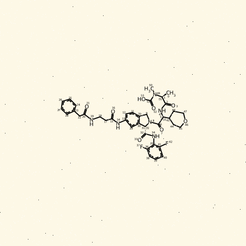 C[C@@H](C(=O)N[C@H](C(=O)N1Cc2ccc(NC(=O)CCNC(=O)Cc3ccccc3)cc2[C@H]1C(=O)Nc1c(F)cccc1F)C1CCOCC1)N(C)C(=O)O